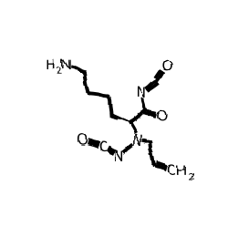 C=CCN(N=C=O)[C@@H](CCCCN)C(=O)N=C=O